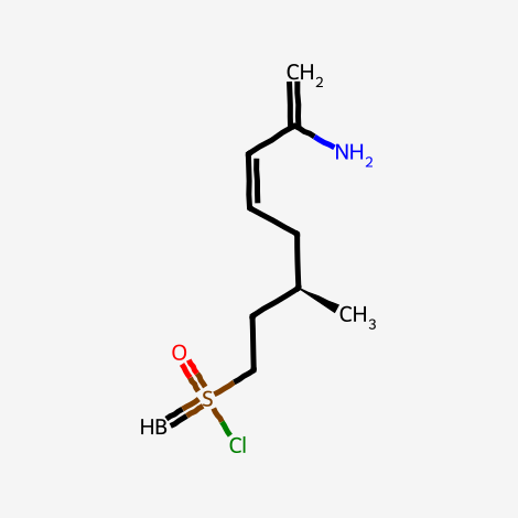 B=S(=O)(Cl)CC[C@H](C)C/C=C\C(=C)N